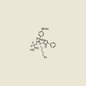 CC(=O)CCCCC[C@H](NS(=O)(=O)c1ccc(NC(C)=O)cc1)c1ncc(-c2ccccc2)[nH]1.O=C(O)C(F)(F)F